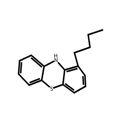 CCCCc1cccc2c1Nc1ccccc1S2